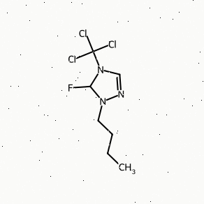 CCCCN1N=CN(C(Cl)(Cl)Cl)C1F